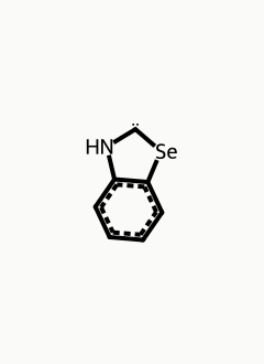 [C]1Nc2ccccc2[Se]1